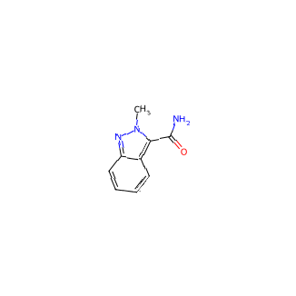 Cn1nc2cc[c]cc2c1C(N)=O